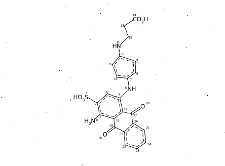 Nc1c(S(=O)(=O)O)cc(Nc2ccc(NCCC(=O)O)cc2)c2c1C(=O)c1ccccc1C2=O